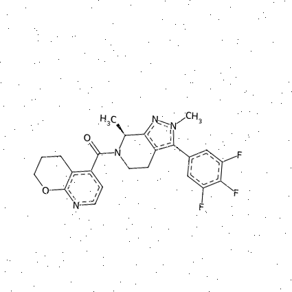 C[C@H]1c2nn(C)c(-c3cc(F)c(F)c(F)c3)c2CCN1C(=O)c1ccnc2c1CCCO2